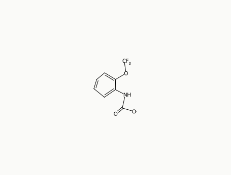 [O]C(=O)Nc1ccccc1OC(F)(F)F